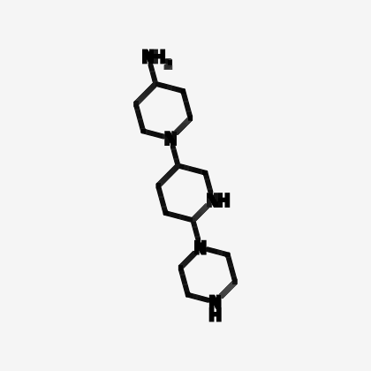 NC1CCN(C2CCC(N3CCNCC3)NC2)CC1